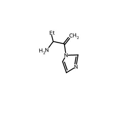 C=C(C(N)CC)n1ccnc1